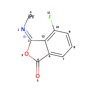 CC(C)/N=C1/OC(=O)c2cccc(F)c21